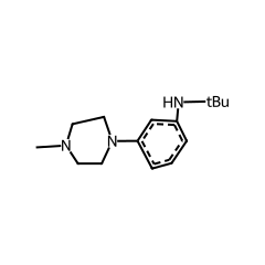 CN1CCN(c2cccc(NC(C)(C)C)c2)CC1